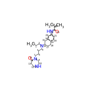 CCCN(CCCCN1CCNCCC1=O)C1CCc2ccc(NC(=O)C(C)C)cc2C1